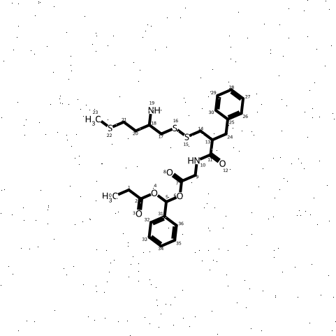 CCC(=O)OC(OC(=O)CNC(=O)C(CSSCC([NH])CCSC)Cc1ccccc1)c1ccccc1